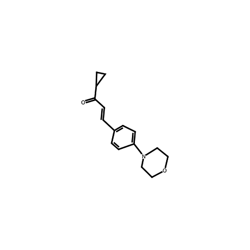 O=C(C=Cc1ccc(N2CCOCC2)cc1)C1CC1